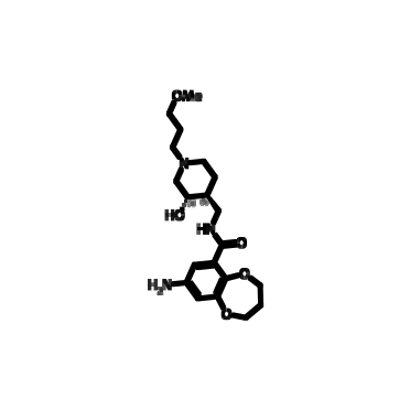 COCCCN1CC[C@@H](CNC(=O)c2cc(N)cc3c2OCCCO3)[C@H](O)C1